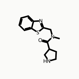 CN(Cc1nc2ccccc2s1)C(=O)C1CCNC1